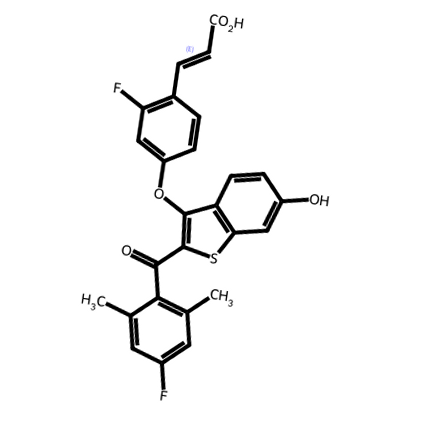 Cc1cc(F)cc(C)c1C(=O)c1sc2cc(O)ccc2c1Oc1ccc(/C=C/C(=O)O)c(F)c1